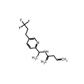 C=CCC(=C)NC(C)c1ccc(CCC(F)(F)F)cn1